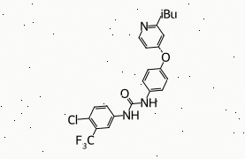 CCC(C)c1cc(Oc2ccc(NC(=O)Nc3ccc(Cl)c(C(F)(F)F)c3)cc2)ccn1